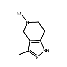 CCN1CCc2[nH]nc(I)c2C1